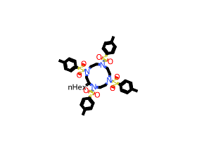 CCCCCCC1CN(S(=O)(=O)c2ccc(C)cc2)CCN(S(=O)(=O)c2ccc(C)cc2)CCN(S(=O)(=O)c2ccc(C)cc2)CCN1S(=O)(=O)c1ccc(C)cc1